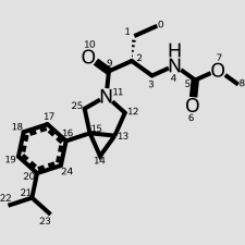 CC[C@H](CNC(=O)OC)C(=O)N1CC2CC2(c2cccc(C(C)C)c2)C1